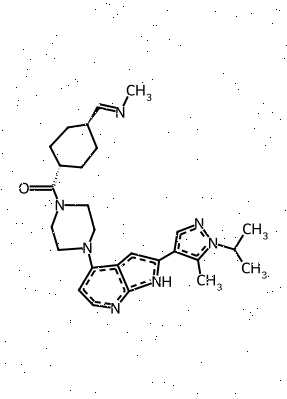 CN=C[C@H]1CC[C@H](C(=O)N2CCN(c3ccnc4[nH]c(-c5cnn(C(C)C)c5C)cc34)CC2)CC1